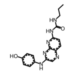 CCCNC(=O)Nc1ccc2ncc(Nc3ccc(O)cc3)nc2n1